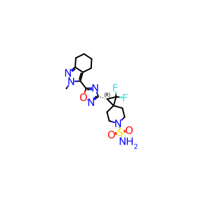 Cn1nc2c(c1-c1nc([C@@H]3C(F)(F)C34CCN(S(N)(=O)=O)CC4)no1)CCCC2